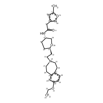 Cc1nc(CC(=O)N[C@H]2CC[C@H](CCN3CCc4ccc(OCC(F)(F)F)nc4CC3)OC2)no1